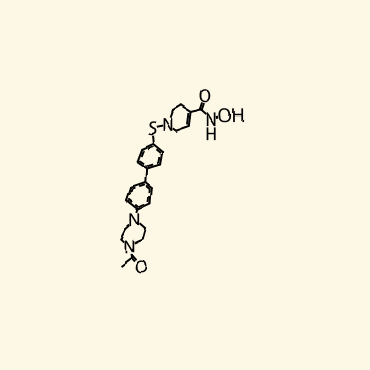 CC(=O)N1CCN(c2ccc(-c3ccc(SN4CC=C(C(=O)NO)CC4)cc3)cc2)CC1